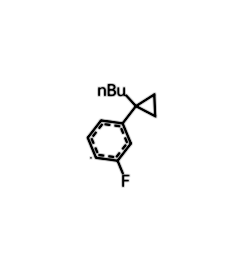 CCCCC1(c2cc[c]c(F)c2)CC1